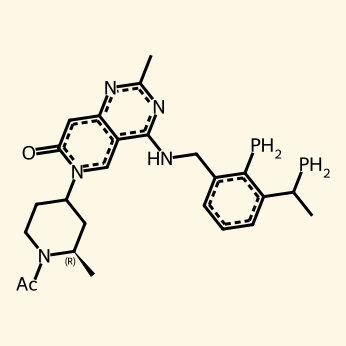 CC(=O)N1CCC(n2cc3c(NCc4cccc(C(C)P)c4P)nc(C)nc3cc2=O)C[C@H]1C